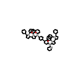 c1ccc(-c2ccc(-c3ccc(N(c4ccc(-c5ccc(N(c6ccccn6)c6ccc(-c7ccc(-c8ccccc8)n7-c7ccccc7)n6-c6ccccc6)cc5)cc4)c4ccccn4)n3-c3ccccc3)n2-c2ccccc2)cc1